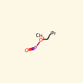 C.CC(C)COP=O